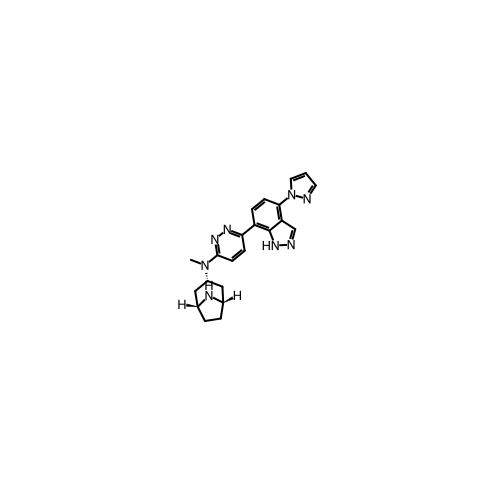 CN(c1ccc(-c2ccc(-n3cccn3)c3cn[nH]c23)nn1)[C@H]1C[C@H]2CC[C@@H](C1)N2